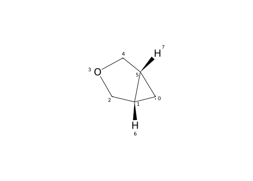 [CH]1[C@@H]2COC[C@H]12